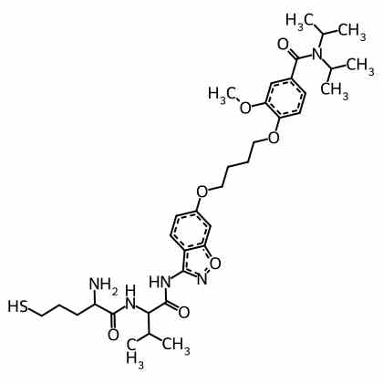 COc1cc(C(=O)N(C(C)C)C(C)C)ccc1OCCCCOc1ccc2c(NC(=O)C(NC(=O)C(N)CCCS)C(C)C)noc2c1